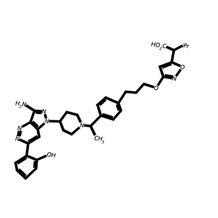 CC(C)C(C(=O)O)c1cc(OCCCc2ccc(C(C)N3CCC(n4nc(N)c5nnc(-c6ccccc6O)cc54)CC3)cc2)no1